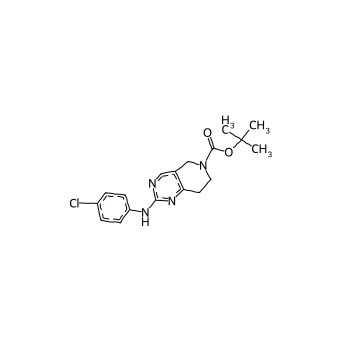 CC(C)(C)OC(=O)N1CCc2nc(Nc3ccc(Cl)cc3)ncc2C1